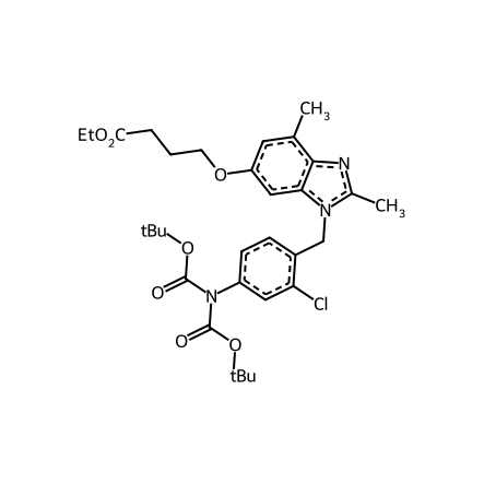 CCOC(=O)CCCOc1cc(C)c2nc(C)n(Cc3ccc(N(C(=O)OC(C)(C)C)C(=O)OC(C)(C)C)cc3Cl)c2c1